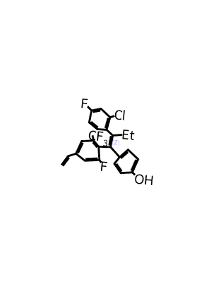 C=Cc1cc(F)c(/C(=C(/CC)c2ccc(F)cc2Cl)c2ccc(O)cc2)c(C(F)(F)F)c1